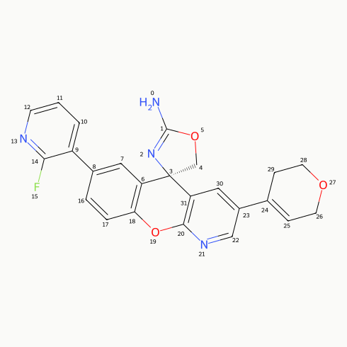 NC1=N[C@]2(CO1)c1cc(-c3cccnc3F)ccc1Oc1ncc(C3=CCOCC3)cc12